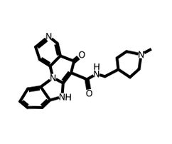 CN1CCC(CNC(=O)c2c(=O)c3cnccc3n3c2[nH]c2ccccc23)CC1